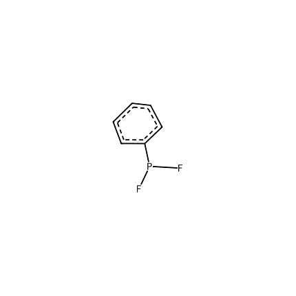 FP(F)c1ccccc1